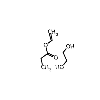 C=COC(=O)CC.OCCO